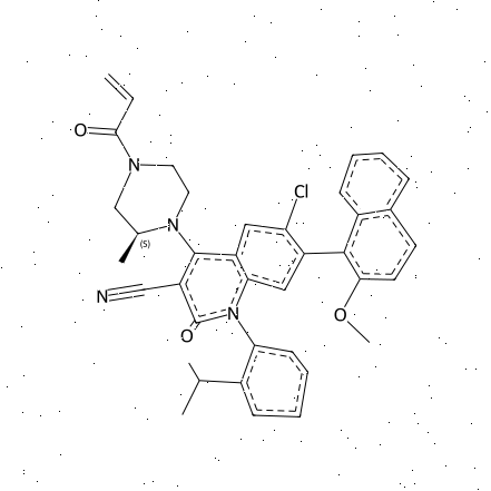 C=CC(=O)N1CCN(c2c(C#N)c(=O)n(-c3ccccc3C(C)C)c3cc(-c4c(OC)ccc5ccccc45)c(Cl)cc23)[C@@H](C)C1